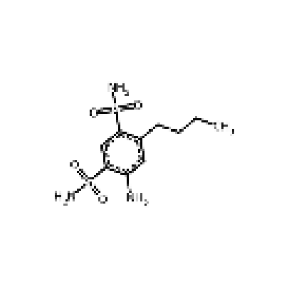 CCCCc1cc(N)c(S(N)(=O)=O)cc1S(N)(=O)=O